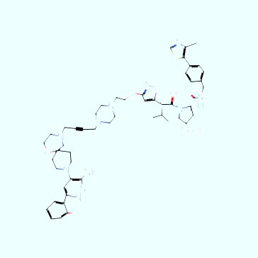 Cc1ncsc1-c1ccc([C@H](C)NC(=O)[C@@H]2C[C@@H](O)CN2C(=O)[C@H](c2cc(OCCN3CCN(CC#CCN4CCOC5(CCN(c6cc(-c7ccccc7O)nnc6N)CC5)C4)CC3)no2)C(C)C)cc1